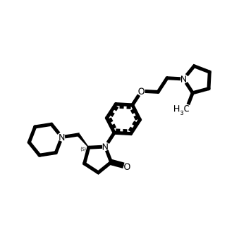 CC1CCCN1CCOc1ccc(N2C(=O)CC[C@H]2CN2CCCCC2)cc1